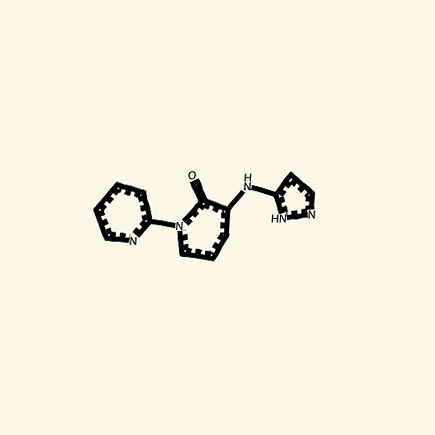 O=c1c(Nc2ccn[nH]2)cccn1-c1ccccn1